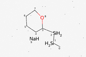 C[SiH2][SiH2]C1CCCCO1.[NaH]